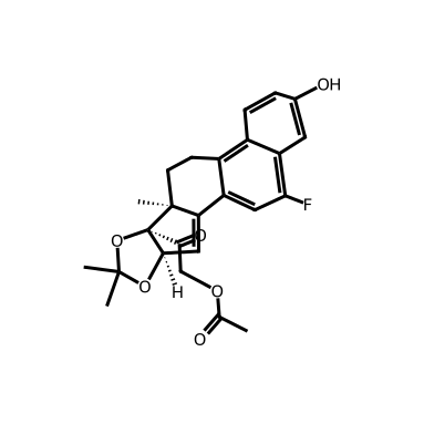 CC(=O)OCC(=O)[C@@]12OC(C)(C)O[C@@H]1C=C1c3cc(F)c4cc(O)ccc4c3CC[C@@]12C